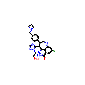 O=c1[nH]nc2c3c(cc(F)cc13)NCC(c1ccc(CN3CCC3)cc1)C2c1ncnn1CCO